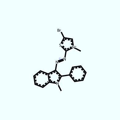 Cn1c(-c2ccccc2)c(/N=N/c2sc(Br)c[n+]2C)c2ccccc21